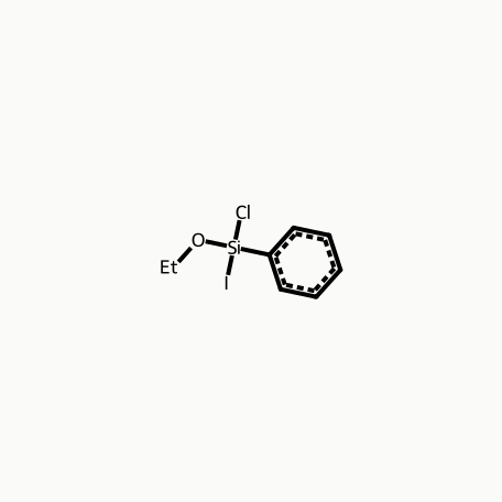 CCO[Si](Cl)(I)c1ccccc1